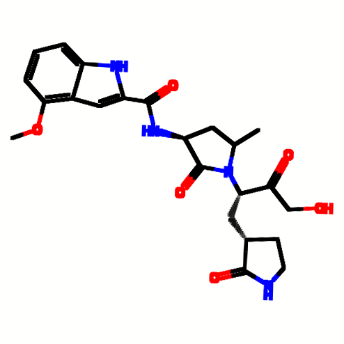 COc1cccc2[nH]c(C(=O)N[C@H]3CC(C)N([C@@H](C[C@@H]4CCNC4=O)C(=O)CO)C3=O)cc12